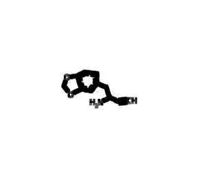 C#CC(N)Cc1ccc2c(c1)OCO2